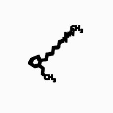 CCCc1ccccc1C/C=C/C=C/C=N/N=N/C